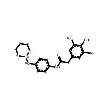 CC(C)(C)c1cc(CC(=O)Nc2ccc(OP3OCCCO3)cc2)cc(C(C)(C)C)c1O